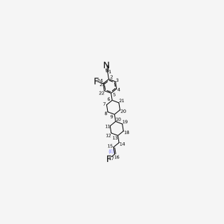 N#Cc1ccc(C2CCC(C3CCC(C/C=C/F)CC3)CC2)cc1F